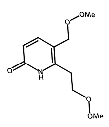 COOCCc1[nH]c(=O)ccc1COOC